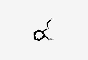 CCCCc1ccccc1OCCl